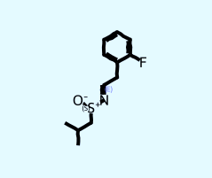 CC(C)C[S@@+]([O-])/N=C/Cc1ccccc1F